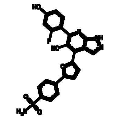 N#Cc1c(-c2ccc(O)cc2F)nc2[nH]ncc2c1-c1ccc(-c2ccc(S(N)(=O)=O)cc2)o1